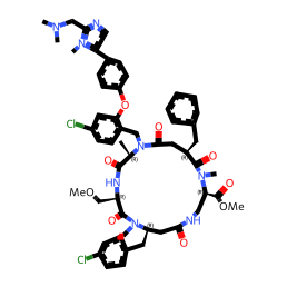 COC[C@H]1NC(=O)[C@@H](C)N(Cc2ccc(Cl)cc2Oc2ccc(-c3cnc(CN(C)C)n3C)cc2)C(=O)C[C@@H](Cc2ccccc2)C(=O)N(C)[C@@H](C(=O)OC)CNC(=O)C[C@@H](Cc2ccc(Cl)cc2)N(C)C1=O